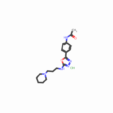 CC(=O)Nc1ccc(-c2nnc(NCCCN3CCCCC3)o2)cc1.Cl